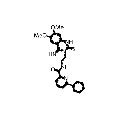 COc1cc2[nH]c(=S)n(CCNC(=O)c3cccc(-c4ccccc4)n3)c(=N)c2cc1OC